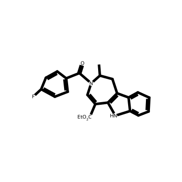 CCOC(=O)C1=CN(C(=O)c2ccc(F)cc2)C(C)Cc2c1[nH]c1ccccc21